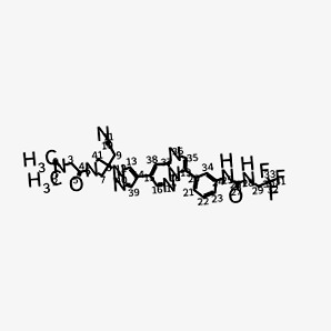 CN(C)CC(=O)N1CC(CC#N)(n2cc(-c3cnn4c(-c5cccc(NC(=O)NCC(F)(F)F)c5)cnc4c3)cn2)C1